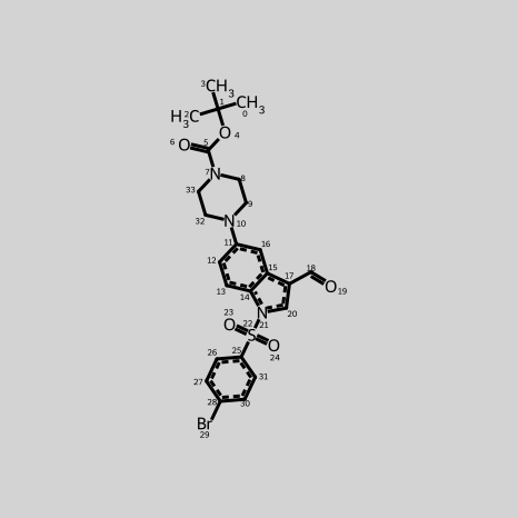 CC(C)(C)OC(=O)N1CCN(c2ccc3c(c2)c(C=O)cn3S(=O)(=O)c2ccc(Br)cc2)CC1